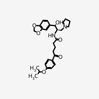 CC(C)Oc1ccc(C(=O)CCCC(=O)N[C@H](CN2CCCC2)[C@H](O)c2ccc3c(c2)OCO3)cc1